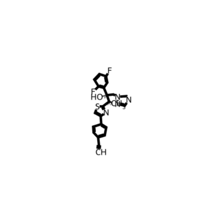 C#Cc1ccc(-c2csc([C@H](C)[C@](O)(Cn3cncn3)c3cc(F)ccc3F)n2)cc1